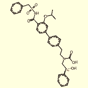 CC(C)Oc1cc(-c2ccc(CCN(C[C@H](O)c3ccccc3)C(=O)O)cc2)ccc1C(=O)NS(=O)(=O)Cc1ccccc1